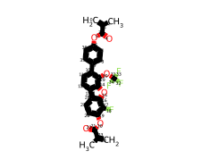 C=C(C)C(=O)Oc1ccc(-c2ccc3c(oc4c(F)c(OC(=O)C(=C)C)ccc43)c2OC(F)(F)F)cc1